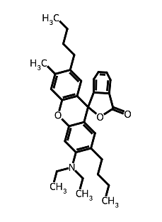 CCCCc1cc2c(cc1C)Oc1cc(N(CC)CC)c(CCCC)cc1C21OC(=O)c2ccccc21